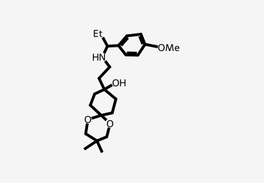 CCC(NCCC1(O)CCC2(CC1)OCC(C)(C)CO2)c1ccc(OC)cc1